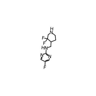 Fc1cnc(NCC2CCNCC2(F)F)nc1